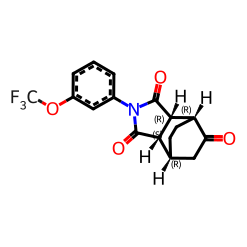 O=C1C[C@H]2CC[C@@H]1[C@H]1C(=O)N(c3cccc(OC(F)(F)F)c3)C(=O)[C@@H]21